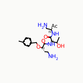 CC(=O)[C@H](CN)NC(=O)[C@@H](NC(=O)[C@H](CCN)OCc1ccc(C)cc1)C(C)O